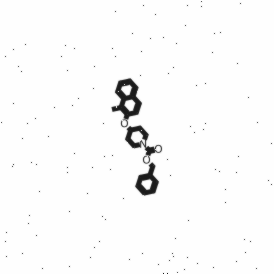 Cc1c(OC2CCN(C(=O)OCc3ccccc3)CC2)ccc2ccccc12